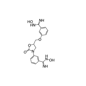 N=C(NO)c1cccc(OCC2CN(c3cccc(C(=N)NO)c3)C(=O)O2)c1